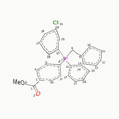 COC(=O)c1ccc([P+](Cc2ccccc2)(c2ccccc2)c2ccccc2)cc1.[Cl-]